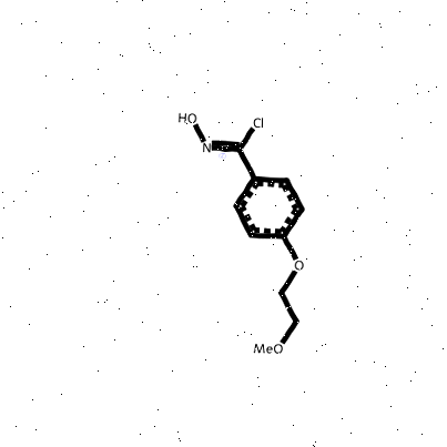 COCCOc1ccc(/C(Cl)=N/O)cc1